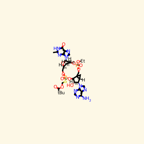 CCO[P@]1(=O)OCC23C[C@@H]2[C@@H](n2cnc4c(N)ncnc42)[C@H](O)[C@@H]3O[P@@](=O)(SCOC(=O)C(C)(C)C)OC[C@H]2O[C@@H](n3cnc4c(=O)[nH]c(C)nc43)[C@H](O1)[C@@H]2OC